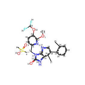 CCOc1nc([C@@H](CS(C)(=O)=O)n2c(=O)[nH]c3c(C)c(-c4ccccc4C)cnc32)ccc1OC(F)F